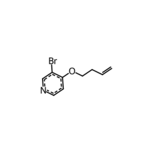 C=CCCOc1ccncc1Br